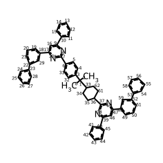 CC(C)(c1ccc(-c2nc(-c3ccccc3)cc(-c3cccc(-c4ccccc4)c3)n2)cc1)C1CCC(c2nc(-c3ccccc3)cc(-c3cccc(-c4ccccc4)c3)n2)CC1